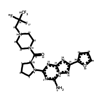 Nc1nc(N2CCC[C@H]2C(=O)N2CCN(CC(F)(F)C(F)(F)F)CC2)nc2nc(-c3ccco3)nn12